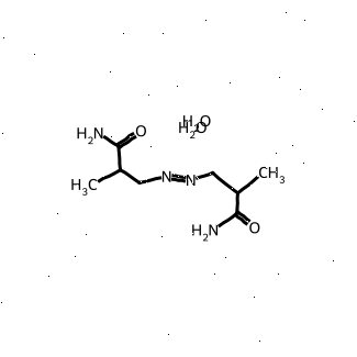 CC(CN=NCC(C)C(N)=O)C(N)=O.O.O